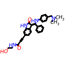 CN(C)Cc1ccc(N/C(=C2\C(=O)Nc3cc(C#CC(=O)NCCO)ccc32)c2ccccc2)cc1